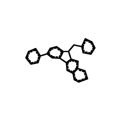 c1ccc(CC2c3ccc(-c4ccccc4)cc3-c3cc4ccccc4cc32)cc1